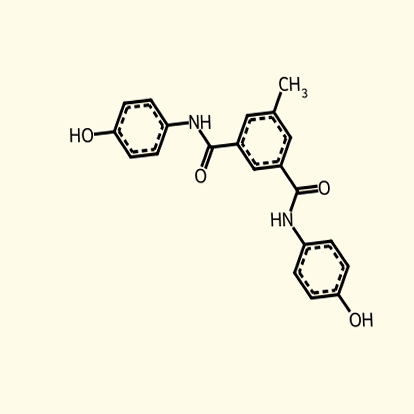 Cc1cc(C(=O)Nc2ccc(O)cc2)cc(C(=O)Nc2ccc(O)cc2)c1